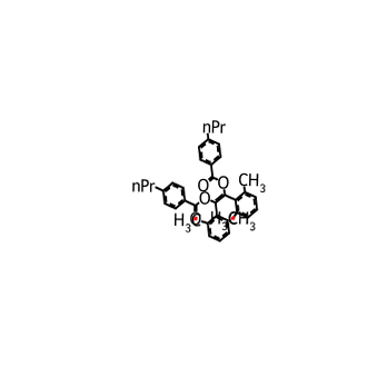 CCCc1ccc(C(=O)OC(=C(OC(=O)c2ccc(CCC)cc2)c2c(C)cccc2C)c2c(C)cccc2C)cc1